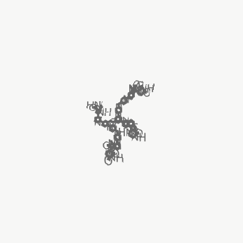 C[C@@H]1Cc2[nH]c(-c3ccnc(-c4ccc(N5CCC(CN6CCN(c7cccc8c7n(C)c(=O)n8C7CCC(=O)NC7=O)CC6)CC5)c(COc5cc(-c6ccc7c(ccc8sc9c(c87)NC[C@@H](C)NC9=O)n6)cc(N6CCN(CC7CCN(c8ccc9c(c8)n(C)c(=O)n9C8CCC(=O)NC8=O)CC7)CC6)c5)c4)c3)cc2C(=O)N1